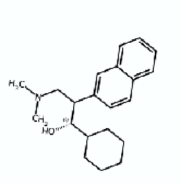 CN(C)CC(c1ccc2ccccc2c1)[C@@H](O)C1CCCCC1